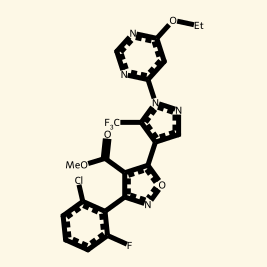 CCOc1cc(-n2ncc(-c3onc(-c4c(F)cccc4Cl)c3C(=O)OC)c2C(F)(F)F)ncn1